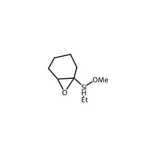 CC[SiH](OC)C12CCCCC1O2